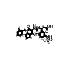 Cc1cccc(Cl)c1Cn1c2c(c(O)c(NC(=O)N[C@@H](CC(=O)O)c3cccc(NS(C)(=O)=O)c3)c1=O)CCC2